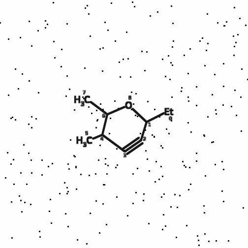 CCC1C#CC(C)C(C)O1